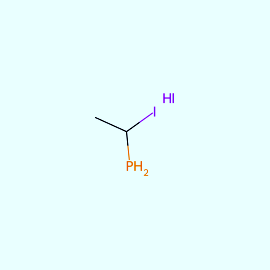 CC(P)I.I